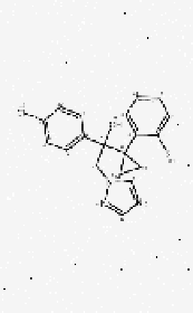 OC(Cn1cncn1)(c1ccc(Cl)cc1)C1(c2ccccc2F)CC1